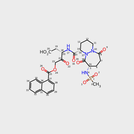 CS(=O)(=O)N[C@H]1CCC(=O)N2CCC[C@@H](C(=O)N[C@@H](CC(=O)O)C(=O)COC(=O)c3cccc4ccccc34)N2C1=O